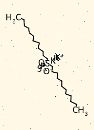 CCCCCCCCCCCCS(CCCCCCCCCCCC)=P([O-])([O-])[S-].[K+].[K+].[K+]